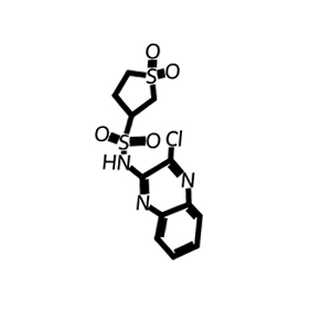 O=S1(=O)CCC(S(=O)(=O)Nc2nc3ccccc3nc2Cl)C1